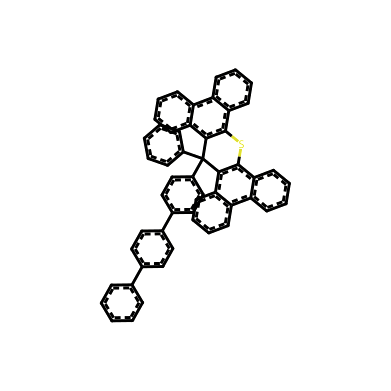 c1ccc(-c2ccc(-c3ccc(C4(c5ccccc5)c5c(c6ccccc6c6ccccc56)Sc5c4c4ccccc4c4ccccc54)cc3)cc2)cc1